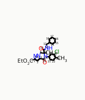 CCOC(=O)c1cc2n(n1)CC(C)(C(=O)NCc1ccccc1)N(c1ccc(C)c(Cl)c1)C2=O